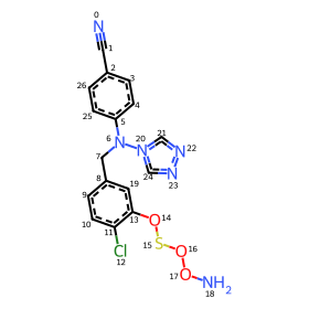 N#Cc1ccc(N(Cc2ccc(Cl)c(OSOON)c2)n2cnnc2)cc1